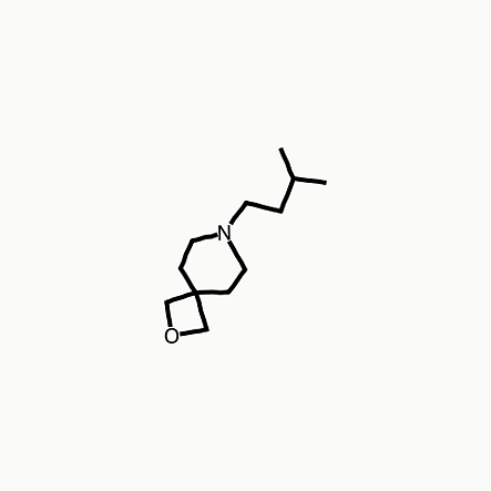 CC(C)CCN1CCC2(CC1)COC2